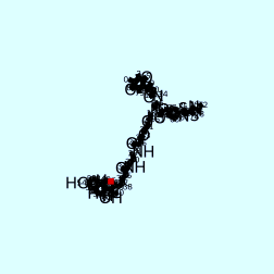 CC1=C(C)C(=O)C(C(C)(C)CC(=O)N(C)CCN(CCOCCOCCC(=O)NCCCNC(=O)CC[C@H](C)[C@@H]2CC[C@@H]3[C@@H]4[C@@H](CC[C@]32C)[C@]2(C)CC[C@H](O)C[C@@H]2C[C@@H]4O)C(=O)Oc2ccc3nc(C4=NC(C)CS4)sc3c2)=C(C)C1=O